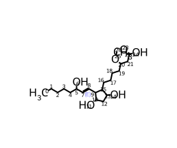 CCCCCC(O)/C=C/C1C(O)CC(O)C1CCCCC(CC(=O)O)OC